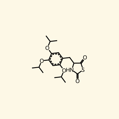 CC(C)Oc1cc(OC(C)C)c(OC(C)C)cc1CC1NC(=O)SC1=O